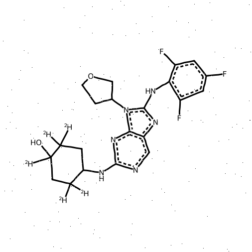 [2H]C1([2H])CC([2H])(O)C([2H])([2H])CC1Nc1ncc2nc(Nc3c(F)cc(F)cc3F)n(C3CCOC3)c2n1